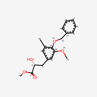 COC(=O)[C@H](O)Cc1cc(C)c(OCc2ccccc2)c(OC)c1